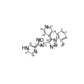 Fc1ccccc1-n1nnc(-c2nc(C3=CNCC=N3)no2)c1-c1ccncc1